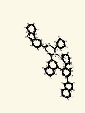 CN1C(c2cc(-c3cc(-c4ccc5ccccc5c4)cc4oc5ccccc5c34)c3ccccc3c2)=NC(c2ccc3sc4ccccc4c3c2)=NC1c1ccccc1